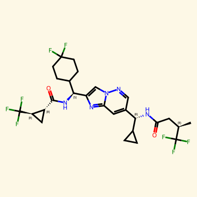 C[C@H](CC(=O)N[C@@H](c1cnn2cc([C@@H](NC(=O)[C@@H]3C[C@H]3C(F)(F)F)C3CCC(F)(F)CC3)nc2c1)C1CC1)C(F)(F)F